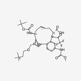 COC(=O)Nc1ccc2c(c1)N(C(=O)C(F)(F)F)[C@@H](C(=O)O)C/C=C/C[C@H](NC(=O)OC(C)(C)C)c1nc-2cn1COCC[Si](C)(C)C